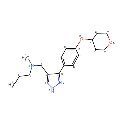 CCCN(C)Cc1c[nH]nc1-c1ccc(OC2CCOCC2)cc1